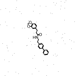 O=C(CCc1ccc2c(c1)OCO2)NCCc1ccc(-c2ccccc2)cc1